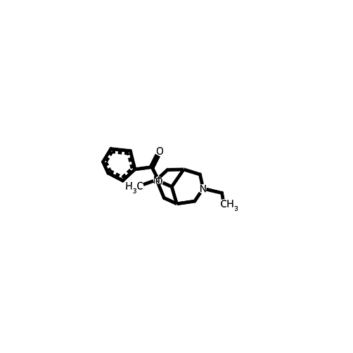 CCN1CC2CN(C)CC(C1)C2OC(=O)c1ccccc1